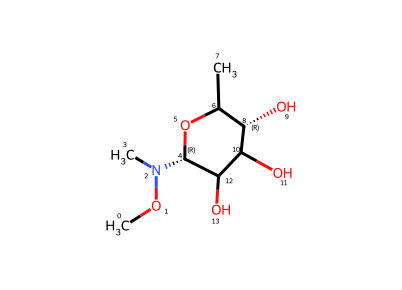 CON(C)[C@@H]1OC(C)[C@H](O)C(O)C1O